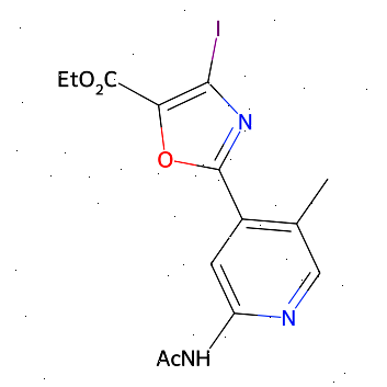 CCOC(=O)c1oc(-c2cc(NC(C)=O)ncc2C)nc1I